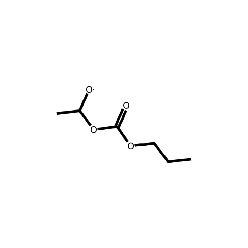 CCCOC(=O)OC(C)[O]